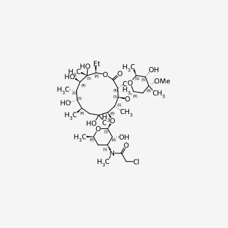 CC[C@H]1OC(=O)[C@H](C)[C@@H](O[C@H]2C[C@@](C)(OC)[C@@H](O)[C@H](C)O2)[C@H](C)[C@@H](O[C@@H]2O[C@H](C)C[C@H](N(C)C(=O)CCl)[C@H]2O)C(C)(O)C[C@@H](C)[C@H](O)[C@H](C)[C@@H](O)[C@]1(C)O